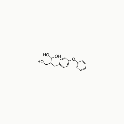 OC[C@H](Cc1ccc(Oc2ccccc2)cc1)C(O)O